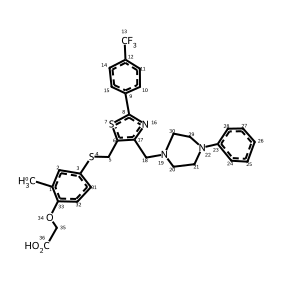 Cc1cc(SCc2sc(-c3ccc(C(F)(F)F)cc3)nc2CN2CCN(c3ccccc3)CC2)ccc1OCC(=O)O